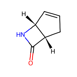 O=C1N[C@@H]2C=CC[C@H]12